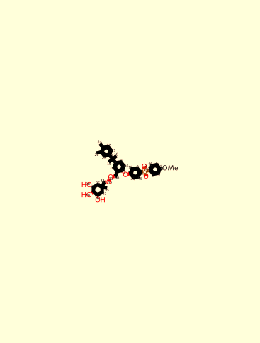 COc1ccc(S(=O)(=O)c2ccc(Oc3ccc(C(C)(C)c4ccc(C)c(C)c4)cc3COOCC3(C)C[C@@H](O)C(O)[C@H](O)C3)cc2)cc1